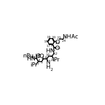 CCCCNC(=O)C(CC(O)C(N)CC(CNC(=O)c1ccccc1OCCNC(C)=O)C(C)C)C(C)C